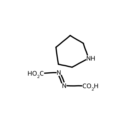 C1CCNCC1.O=C(O)N=NC(=O)O